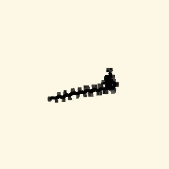 CCCCCCCCCCCCCCCCN1CCC[Si]1(C)OCC